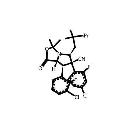 CC(C)C(C)(C)C[C@@H]1N2[C@@H](C(=O)OC2(C)C)[C@H](c2cccc(Cl)c2F)[C@@]1(C#N)c1ccc(Cl)cc1F